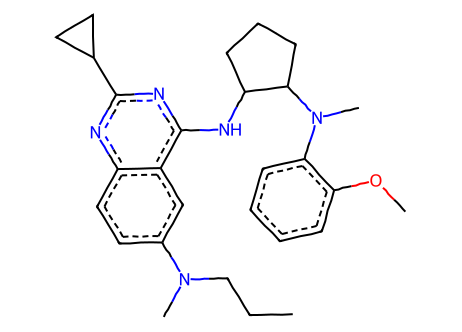 CCCN(C)c1ccc2nc(C3CC3)nc(NC3CCCC3N(C)c3ccccc3OC)c2c1